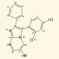 Clc1ccc(-c2c(-c3ccccc3)nc3ncc(Br)cn23)c(Cl)c1